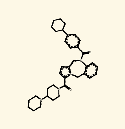 O=C(c1ccc2n1Cc1ccccc1N(C(=O)c1ccc(C3CCCCC3)cc1)C2)N1CCC(N2CCCCC2)CC1